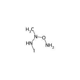 CN(NI)ON